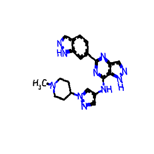 CN1CCC(n2cc(Nc3nc(-c4ccc5cn[nH]c5c4)nc4cn[nH]c34)cn2)CC1